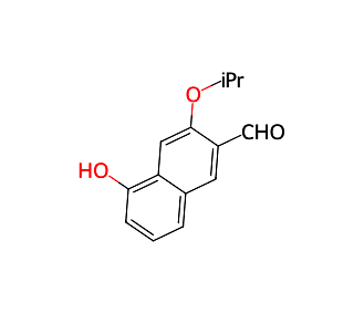 CC(C)Oc1cc2c(O)cccc2cc1C=O